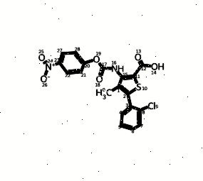 Cc1c(-c2ccccc2Cl)sc(C(=O)O)c1NC(=O)Oc1ccc([N+](=O)[O-])cc1